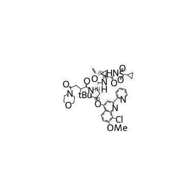 C=C[C@@H]1C[C@]1(NC(=O)[C@@H]1C[C@@H](Oc2cc(-c3ccccn3)nc3c(Cl)c(OC)ccc23)CN1C(=O)C(CC(=O)N1CCOCC1)C(C)(C)C)C(=O)NS(=O)(=O)C1CC1